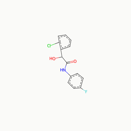 O=C(Nc1ccc(F)cc1)C(O)c1ccccc1Cl